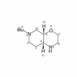 CCC(C)N1CC[C@H]2NCCO[C@H]2C1